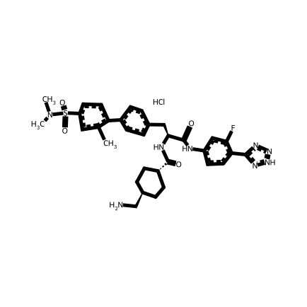 Cc1cc(S(=O)(=O)N(C)C)ccc1-c1ccc(C[C@H](NC(=O)[C@H]2CC[C@H](CN)CC2)C(=O)Nc2ccc(-c3nn[nH]n3)c(F)c2)cc1.Cl